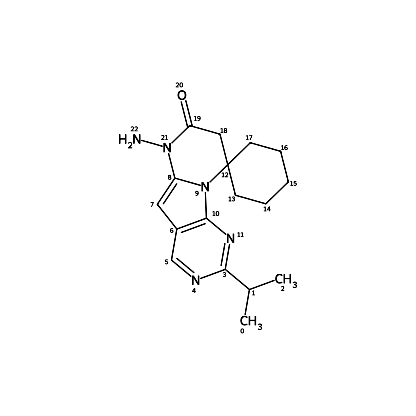 CC(C)c1ncc2cc3n(c2n1)C1(CCCCC1)CC(=O)N3N